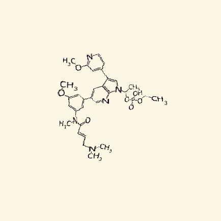 CCOP(=O)(O)OC(C)n1cc(-c2ccnc(OC)c2)c2cc(-c3cc(OC)cc(N(C)C(=O)C=CCN(C)C)c3)cnc21